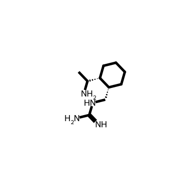 CC(N)[C@@H]1CCCC[C@@H]1CNC(=N)N